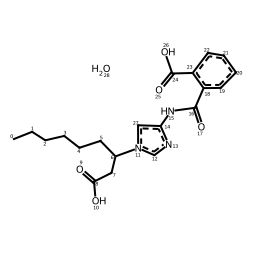 CCCCCCC(CC(=O)O)n1cnc(NC(=O)c2ccccc2C(=O)O)c1.O